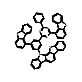 c1ccc(-c2nc(-c3cc(-c4cccc5sc6ccccc6c45)cc(-n4c5ccccc5c5ccc6c7ccccc7sc6c54)c3)nc(-c3cccc4sc5ccccc5c34)n2)cc1